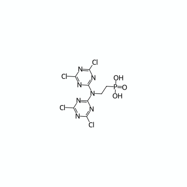 O=P(O)(O)CCN(c1nc(Cl)nc(Cl)n1)c1nc(Cl)nc(Cl)n1